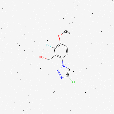 COc1ccc(-n2cc(Cl)nn2)c(CO)c1F